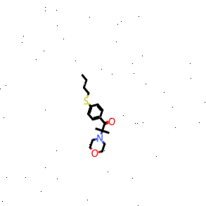 CCCCSc1ccc(C(=O)C(C)(C)N2CCOCC2)cc1